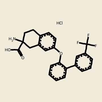 Cl.NC1(C(=O)O)CCc2ccc(Oc3ccccc3-c3cccc(C(F)(F)F)c3)cc2C1